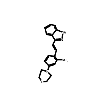 O=[N+]([O-])c1cc(N2CCOCC2)ccc1/C=C/c1n[nH]c2ccccc12